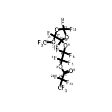 O=C(OC(F)(F)C(F)(F)OC1(F)OC(F)(F)OC1(F)OC(F)(F)F)C(F)(F)C(F)(F)F